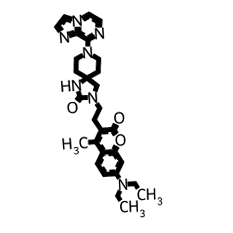 CCN(CC)c1ccc2c(C)c(CCN3CC4(CCN(c5nccn6ccnc56)CC4)NC3=O)c(=O)oc2c1